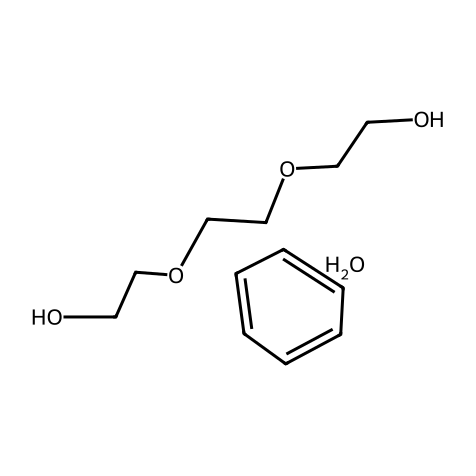 O.OCCOCCOCCO.c1ccccc1